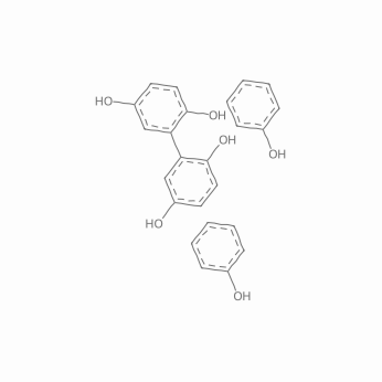 Oc1ccc(O)c(-c2cc(O)ccc2O)c1.Oc1ccccc1.Oc1ccccc1